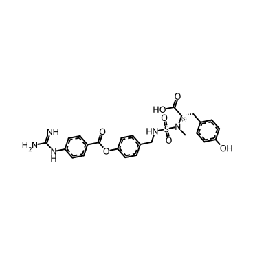 CN([C@@H](Cc1ccc(O)cc1)C(=O)O)S(=O)(=O)NCc1ccc(OC(=O)c2ccc(NC(=N)N)cc2)cc1